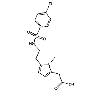 Cn1c(CCNS(=O)(=O)c2ccc(Cl)cc2)ccc1CC(=O)O